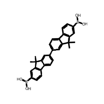 CC1(C)c2cc(B(O)O)ccc2-c2ccc(-c3ccc4c(c3)C(C)(C)c3cc(B(O)O)ccc3-4)cc21